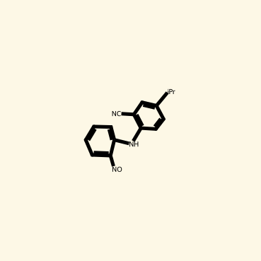 CC(C)c1ccc(Nc2ccccc2N=O)c(C#N)c1